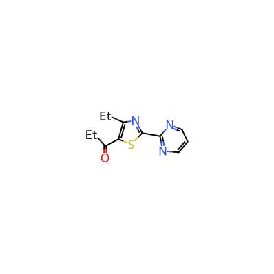 CCC(=O)c1sc(-c2ncccn2)nc1CC